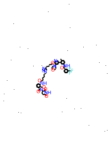 Cc1ccc(NC(=O)c2cccc(C(F)(F)F)c2)cc1-c1cnc(OCCCCc2cn(CCCCCC(=O)Nc3cccc4c3C(=O)N(C3CCC(=O)NC3=O)C4=O)nn2)c(N2CCOCC2)c1